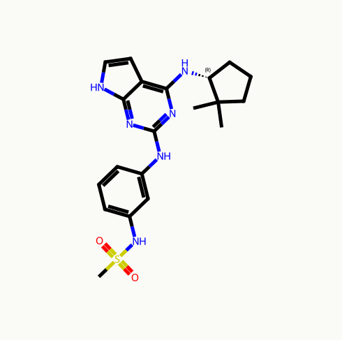 CC1(C)CCC[C@H]1Nc1nc(Nc2cccc(NS(C)(=O)=O)c2)nc2[nH]ccc12